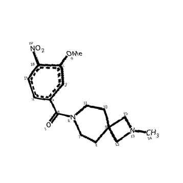 COc1cc(C(=O)N2CCC3(CC2)CN(C)C3)ccc1[N+](=O)[O-]